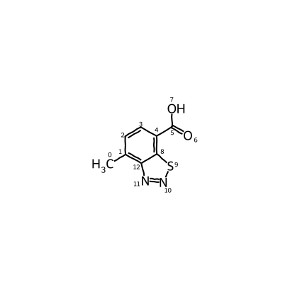 Cc1ccc(C(=O)O)c2snnc12